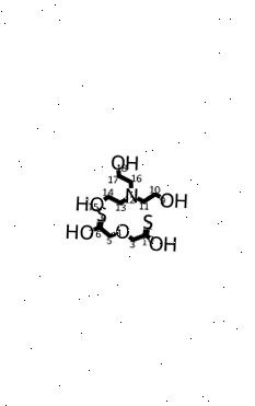 OC(=S)COCC(O)=S.OCCN(CCO)CCO